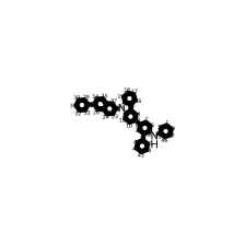 c1ccc(Nc2ccc(-c3ccc4c(c3)c3ccccc3n4-c3ccc4cc(-c5ccccc5)ccc4c3)cc2-c2ccccc2)cc1